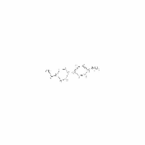 O=[N+]([O-])c1ccc([C@H]2CC[C@H](CCl)CC2)cc1